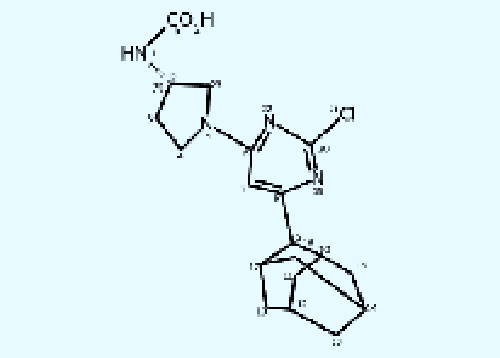 O=C(O)N[C@H]1CCN(c2cc(C3C4CC5CC(C4)CC3C5)nc(Cl)n2)C1